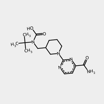 CC(C)(C)N(CC1CCCN(c2nccc(C(N)=O)n2)C1)C(=O)O